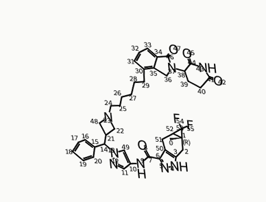 C[C@@]12Cc3[nH]nc(C(=O)Nc4cnn(C(c5ccccc5)C5CN(CCCCCCc6cccc7c6CN(C6CCC(=O)NC6=O)C7=O)C5)c4)c3CC1C2(F)F